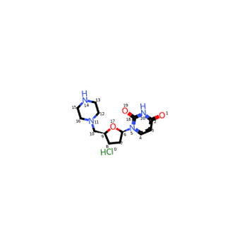 Cl.O=c1ccn([C@H]2CC[C@@H](CN3CCNCC3)O2)c(=O)[nH]1